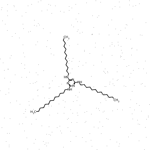 CCCCCCCCCCCCCNc1nc(NCCCCCCCCCCCCC)nc(NCCCCCCCCCCCCC)n1